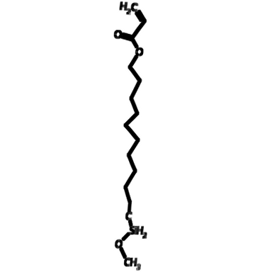 C=CC(=O)OCCCCCCCCCCC[SiH2]OC